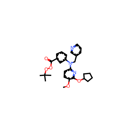 COc1ccc(N(Cc2cccnc2)c2cccc(C(=O)OOC(C)(C)C)c2)nc1OC1CCCC1